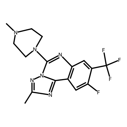 Cc1nc2c3cc(F)c(C(F)(F)F)cc3nc(N3CCN(C)CC3)n2n1